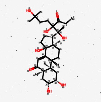 CC(=O)CC(=O)C(O)(CCC(C)(C)O)[C@](C)(O)[C@H]1CC[C@@]2(O)C3=CC(=O)[C@@H]4C[C@@H](O)[C@@H](O)C[C@]4(C)[C@H]3CC[C@]12C